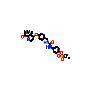 CNC(=O)c1cc(Oc2ccc(CNC(=O)Nc3ccc(OS(=O)(=O)C(F)(F)F)cc3)cc2)ccn1